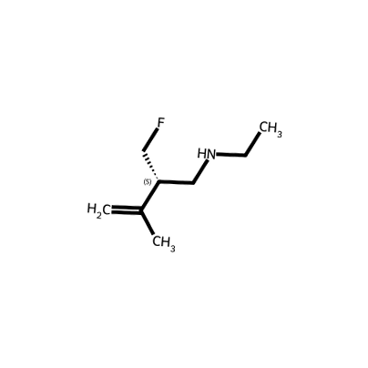 C=C(C)[C@H](CF)CNCC